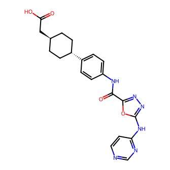 O=C(O)C[C@H]1CC[C@H](c2ccc(NC(=O)c3nnc(Nc4ccncn4)o3)cc2)CC1